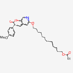 CCC(=O)OCCCCCCCCCCCCOc1cc2cc(-c3ccc(OC)cc3)c(=O)oc2cn1